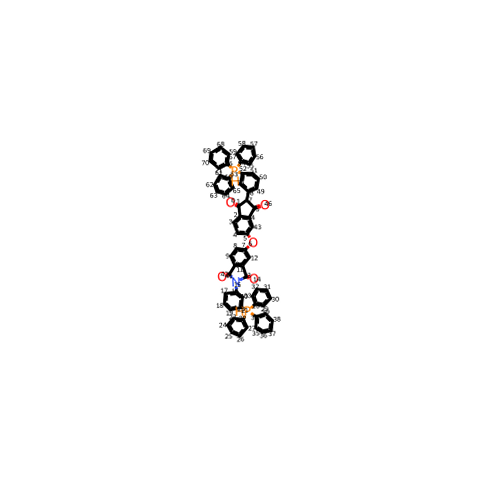 O=C1c2ccc(Oc3ccc4c(c3)C(=O)N(c3cccc([PH](c5ccccc5)(c5ccccc5)c5ccccc5)c3)C4=O)cc2C(=O)C1c1cccc([PH](c2ccccc2)(c2ccccc2)c2ccccc2)c1